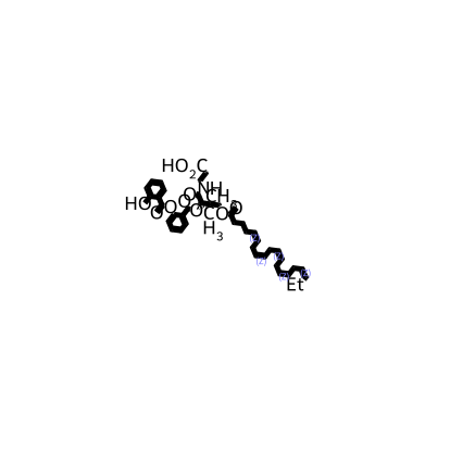 CC/C=C\C/C=C\C/C=C\C/C=C\C/C=C\CCCC(=O)OCC(C)(C)[C@H](OC(=O)c1ccccc1OC(=O)c1ccccc1O)C(=O)NCCC(=O)O